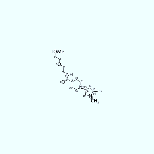 COCCOCCNC(=O)C1CCN([C@H]2C[C@@H](I)N(C)C2)CC1